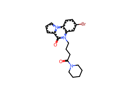 O=C(CCCn1c(=O)c2cccn2c2ccc(Br)cc21)N1CCCCC1